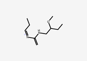 C=C(/N=C\CC)NCC(CC)OC